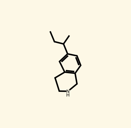 CCC(C)c1ccc2c(c1)CCNC2